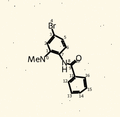 CNc1cc(Br)ccc1NC(=O)c1ccccc1